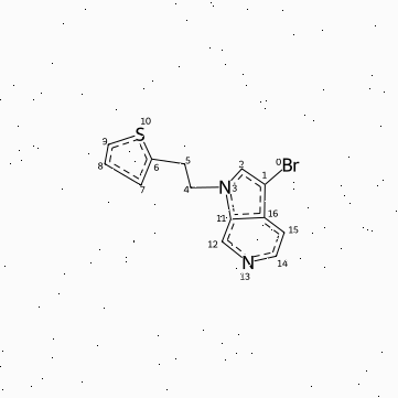 Brc1cn(CCc2cccs2)c2cnccc12